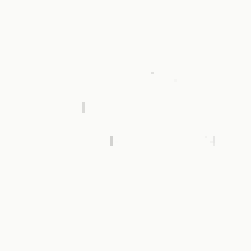 C=NCC1=CC2(CN(C(=O)c3c(F)ccc(C)c3F)C2)CC(C)(C)C1=O